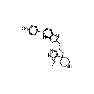 CC(C)C1CNCCC1(CCOc1nc2ccc(-c3cc[n+]([O-])cc3)nc2s1)c1cnno1